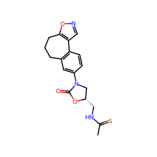 CC(=S)NC[C@H]1CN(c2ccc3c(c2)CCCc2oncc2-3)C(=O)O1